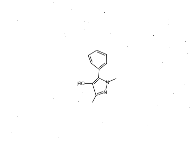 Cc1nn(C)c(-c2ccccc2)c1O